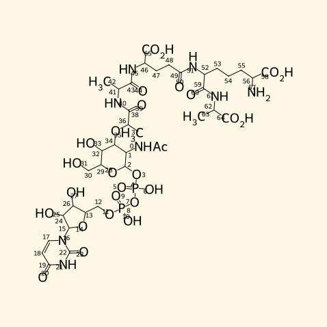 CC(=O)NC1C(OP(=O)(O)OP(=O)(O)OCC2OC(n3ccc(=O)[nH]c3=O)C(O)C2O)OC(CO)C(O)C1OC(C)C(=O)NC(C)C(=O)NC(CCC(=O)NC(CCCC(N)C(=O)O)C(=O)NC(C)C(=O)O)C(=O)O